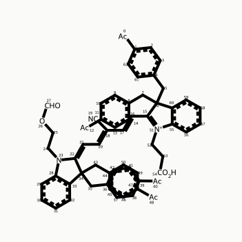 CC(=O)c1ccc(CC2(Cc3ccc(C(C)=O)cc3)C(/C=C/C(C#N)=C/C=C3/N(CCOC=O)c4ccccc4C3(Cc3ccc(C(C)=O)cc3)Cc3ccc(C(C)=O)cc3)=[N+](CCC(=O)O)c3ccccc32)cc1